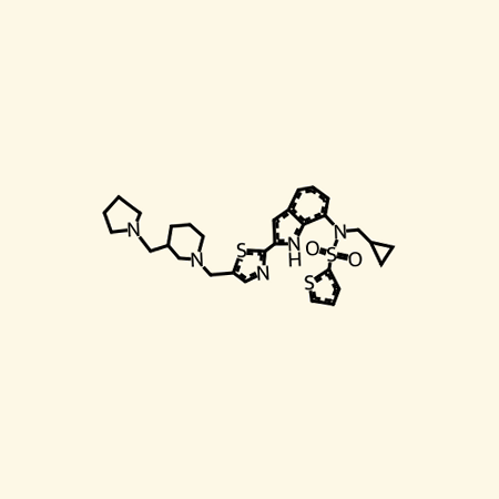 O=S(=O)(c1cccs1)N(CC1CC1)c1cccc2cc(-c3ncc(CN4CCCC(CN5CCCC5)C4)s3)[nH]c12